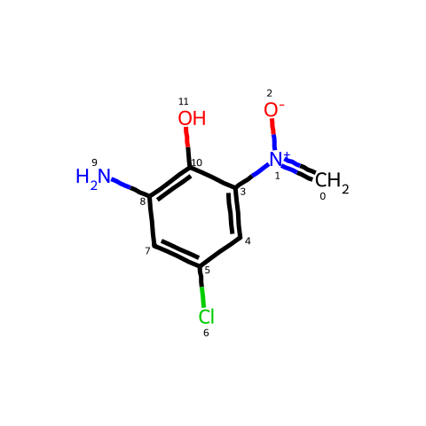 C=[N+]([O-])c1cc(Cl)cc(N)c1O